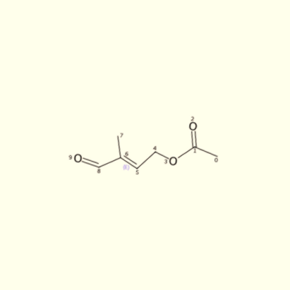 CC(=O)OC/C=C(\C)C=O